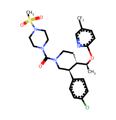 C[C@H](Oc1ccc(C(F)(F)F)cn1)[C@H]1CCN(C(=O)N2CCN(S(C)(=O)=O)CC2)C[C@@H]1c1ccc(Cl)cc1